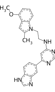 COc1cccc2c1cc(C)n2CCNc1cc(-c2ccc3[nH]cnc3c2)ncn1